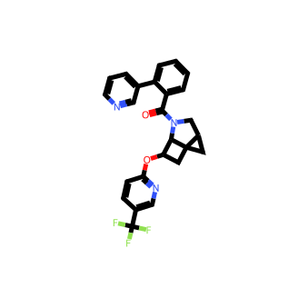 O=C(c1ccccc1-c1cccnc1)N1CC2CC23CC(Oc2ccc(C(F)(F)F)cn2)C13